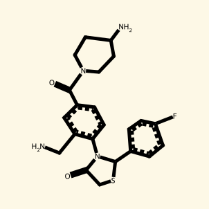 NCc1cc(C(=O)N2CCC(N)CC2)ccc1N1C(=O)CSC1c1ccc(F)cc1